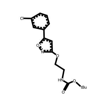 CC(C)(C)OC(=O)NCCOc1cc(-c2cccc(Cl)c2)on1